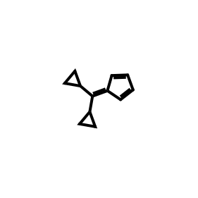 C1=CC(=C(C2CC2)C2CC2)C=C1